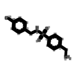 NCc1ccc(S(=O)(=O)NCc2ccc(Cl)cc2)cc1